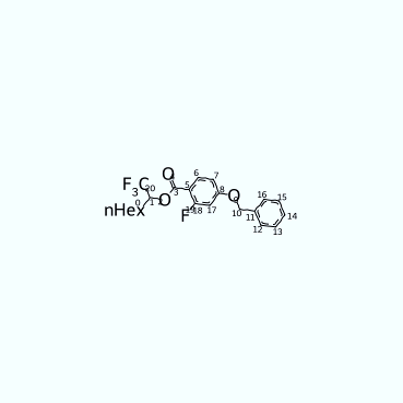 CCCCCCC(OC(=O)c1ccc(OCc2ccccc2)cc1F)C(F)(F)F